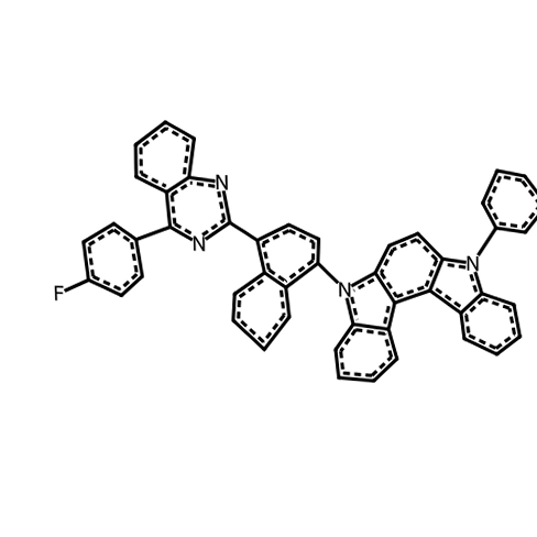 Fc1ccc(-c2nc(-c3ccc(-n4c5ccccc5c5c6c7ccccc7n(-c7ccccc7)c6ccc54)c4ccccc34)nc3ccccc23)cc1